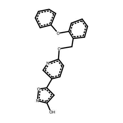 Oc1cc(-c2ccc(OCc3ccccc3Oc3ccccc3)nc2)on1